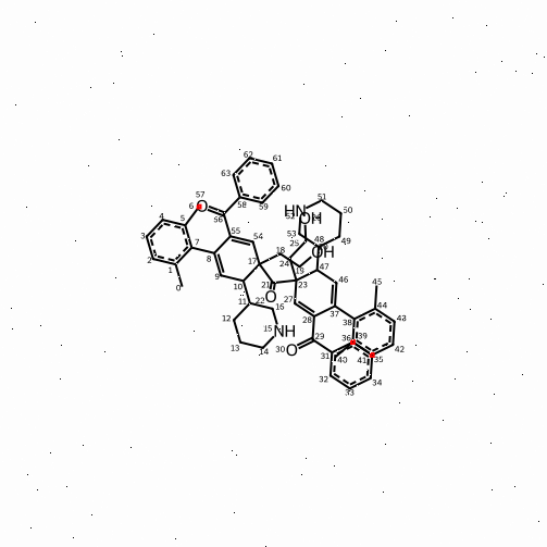 Cc1cccc(C)c1C1=CC(C2CCCNC2)C(CCO)(C(=O)C2(CCO)C=C(C(=O)c3ccccc3)C(c3c(C)cccc3C)=CC2C2CCCNC2)C=C1C(=O)c1ccccc1